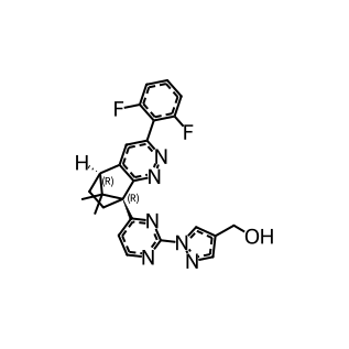 CC1(C)[C@H]2CC[C@@]1(c1ccnc(-n3cc(CO)cn3)n1)c1nnc(-c3c(F)cccc3F)cc12